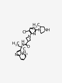 CC[C@@](C)(NC(=O)C1CN(c2nc(N3CCNC[C@@H]3C)ncc2Cl)C1)c1cnc2ccccn12